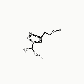 CC(C)n1cc(CCOI)nn1